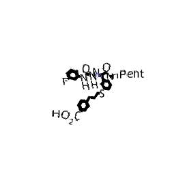 CCCCCN1C(=O)/C(=N/NC(=O)Nc2cccc(F)c2)c2cc(SCCCc3ccc(C(=O)O)cc3)ccc21